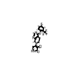 O=c1[nH]ncc(N2CCc3c(ncnc3Oc3ccc(F)cc3C(F)(F)F)C2)c1Cl